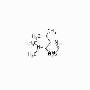 C=C(C(/N=C\C)C(C)C)N(C)C